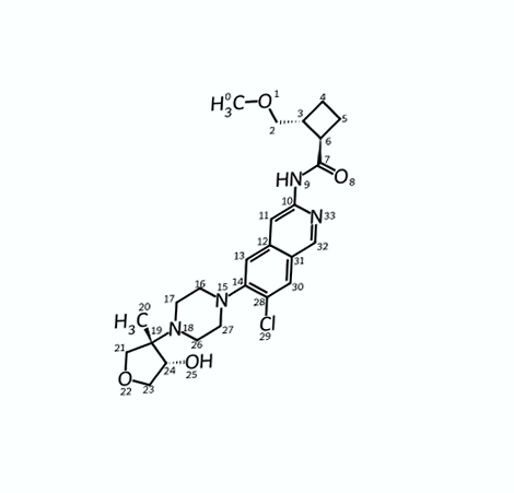 COC[C@@H]1CC[C@H]1C(=O)Nc1cc2cc(N3CCN([C@@]4(C)COC[C@H]4O)CC3)c(Cl)cc2cn1